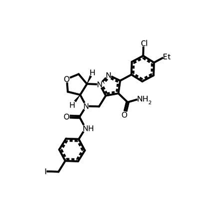 CCc1ccc(-c2nn3c(c2C(N)=O)CN(C(=O)Nc2ccc(CI)cc2)[C@@H]2COC[C@@H]23)cc1Cl